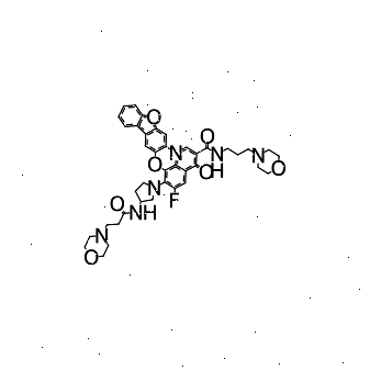 O=C(CCN1CCOCC1)N[C@@H]1CCN(c2c(F)cc3c(=O)c(C(=O)NCCCN4CCOCC4)cn4c3c2Oc2cc3c(cc2-4)oc2ccccc23)C1